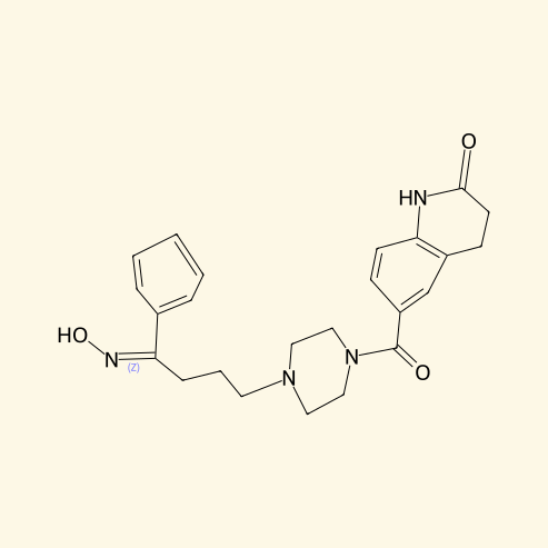 O=C1CCc2cc(C(=O)N3CCN(CCC/C(=N/O)c4ccccc4)CC3)ccc2N1